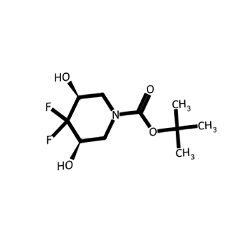 CC(C)(C)OC(=O)N1C[C@@H](O)C(F)(F)[C@@H](O)C1